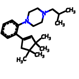 CC(C)CN1CCN(c2ccccc2C2=CC(C)(C)C(C)(C)C2)CC1